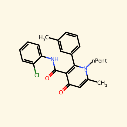 CCCCCn1c(C)cc(=O)c(C(=O)Nc2ccccc2Cl)c1-c1cccc(C)c1